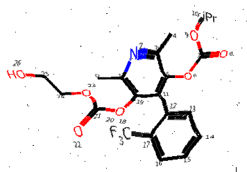 Cc1nc(C)c(OC(=O)OC(C)C)c(-c2ccccc2C(F)(F)F)c1OC(=O)OCCO